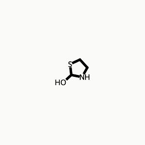 OC1NCCS1